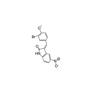 COc1ccc(C=C2C(=O)Nc3ccc([N+](=O)[O-])cc32)cc1Br